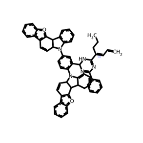 C=C/C=C(\CCC)C1=NC(c2ccccc2)=NC(c2cc(N3c4ccccc4C4c5oc6ccccc6c5C=CC43)ccc2N2C3=CC=CCC3C3c4oc5ccccc5c4C=CC32)N1